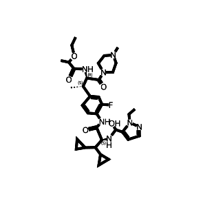 CCOC(C)C(=O)N[C@@H](C(=O)N1CCN(C)CC1)[C@@H](C)c1ccc(NC(=O)[C@@H](NC(O)c2ccnn2CC)C(C2CC2)C2CC2)c(F)c1